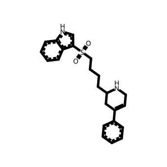 O=S(=O)(CCCCC1CC(c2ccccc2)=CCN1)c1c[nH]c2ccccc12